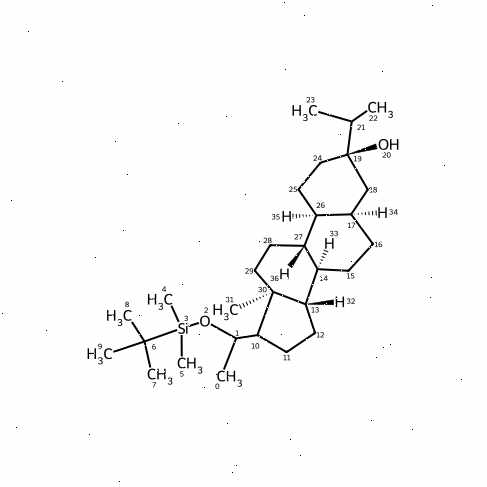 CC(O[Si](C)(C)C(C)(C)C)C1CC[C@H]2[C@@H]3CC[C@@H]4C[C@@](O)(C(C)C)CC[C@@H]4[C@H]3CC[C@]12C